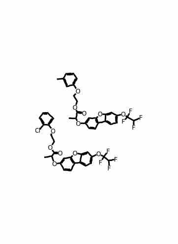 CC(Oc1ccc2c(c1)oc1cc(OC(F)(F)C(F)F)ccc12)C(=O)OCCOc1ccccc1Cl.Cc1cccc(OCCOC(=O)C(C)Oc2ccc3c(c2)oc2cc(OC(F)(F)C(F)F)ccc23)c1